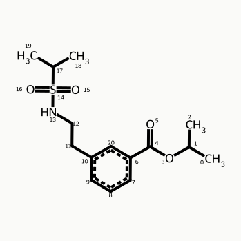 CC(C)OC(=O)c1cccc(CCNS(=O)(=O)C(C)C)c1